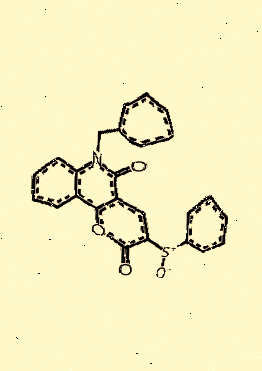 O=c1oc2c(cc1[S+]([O-])c1ccccc1)c(=O)n(Cc1ccccc1)c1ccccc21